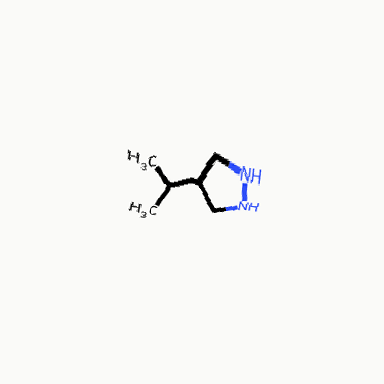 CC(C)C1CNNC1